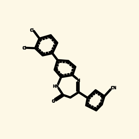 N#Cc1cccc(C2=Nc3ccc(-c4ccc(Cl)c(Cl)c4)cc3NC(=O)C2)c1